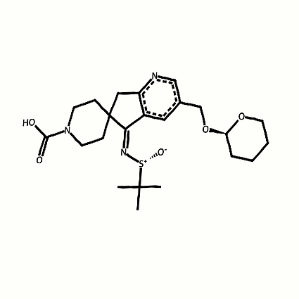 CC(C)(C)[S@@+]([O-])/N=C1\c2cc(CO[C@@H]3CCCCO3)cnc2CC12CCN(C(=O)O)CC2